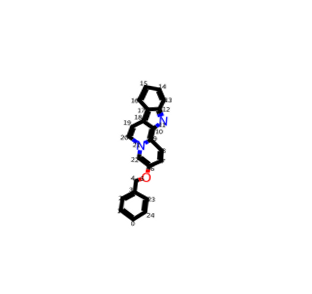 c1ccc(COc2ccc3c4nc5ccccc5c-4ccn3c2)cc1